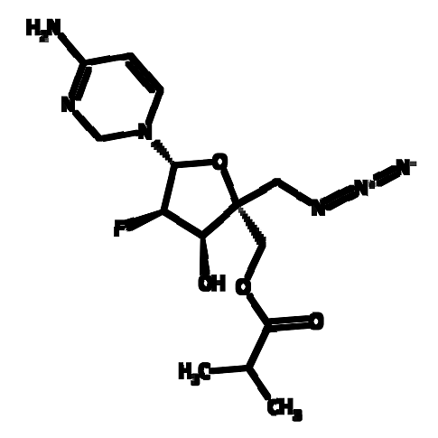 CC(C)C(=O)OC[C@@]1(CN=[N+]=[N-])O[C@@H](N2C=CC(N)=NC2)[C@H](F)[C@@H]1O